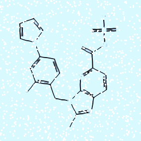 CCCCCS(=O)(=O)NC(=O)c1ccc2nc(C)n(Cc3ccc(-n4cccc4)cc3Cl)c2n1